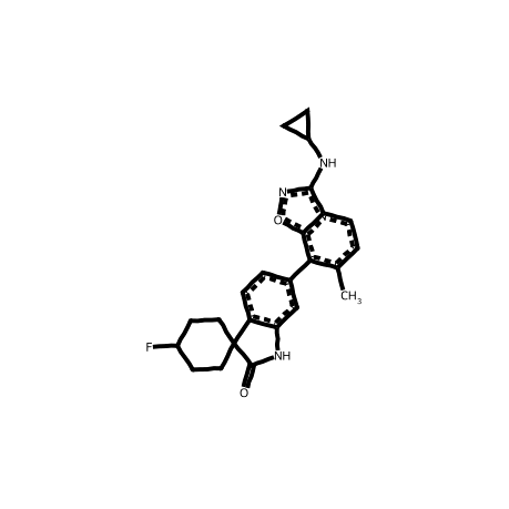 Cc1ccc2c(NC3CC3)noc2c1-c1ccc2c(c1)NC(=O)C21CCC(F)CC1